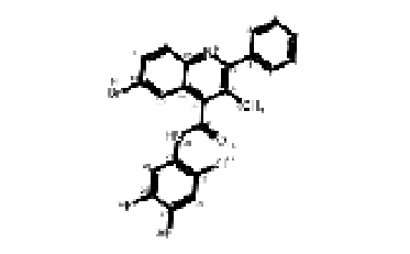 Cc1c(-c2ccccc2)nc2ccc(Br)cc2c1C(=O)Nc1[c]c(F)c(F)cc1Cl